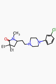 CCC1(CC)CC(CCN2CCN(c3cccc(Cl)c3)CC2)N(C)C1=O